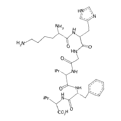 CC(C)C(NC(=O)C(Cc1ccccc1)NC(=O)C(NC(=O)CNC(=O)C(Cc1c[nH]cn1)NC(=O)C(N)CCCCN)C(C)C)C(=O)O